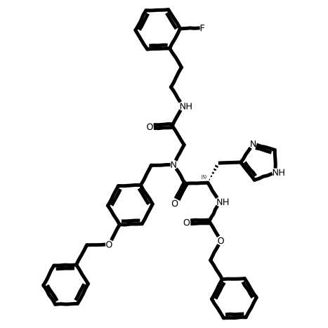 O=C(CN(Cc1ccc(OCc2ccccc2)cc1)C(=O)[C@H](Cc1c[nH]cn1)NC(=O)OCc1ccccc1)NCCc1ccccc1F